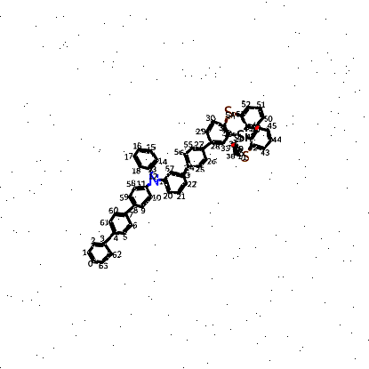 c1ccc(-c2ccc(-c3ccc(N(c4ccccc4)c4cccc(-c5ccc(-c6ccc7c(c6)[Si]6(c8ccccc8Sc8ccccc86)c6ccccc6S7)cc5)c4)cc3)cc2)cc1